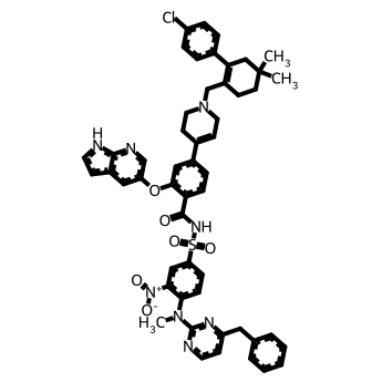 CN(c1nccc(Cc2ccccc2)n1)c1ccc(S(=O)(=O)NC(=O)c2ccc(C3=CCN(CC4=C(c5ccc(Cl)cc5)CC(C)(C)CC4)CC3)cc2Oc2cnc3[nH]ccc3c2)cc1[N+](=O)[O-]